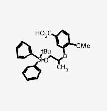 COc1ccc(C(=O)O)cc1OC(C)CO[Si](c1ccccc1)(c1ccccc1)C(C)(C)C